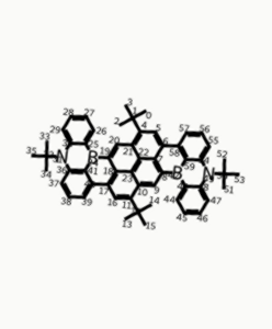 CC(C)(C)c1cc2c3c(cc4c(C(C)(C)C)cc5c6c(cc1c3c46)B1c3ccccc3N(C(C)(C)C)c3cccc-5c31)B1c3ccccc3N(C(C)(C)C)c3cccc-2c31